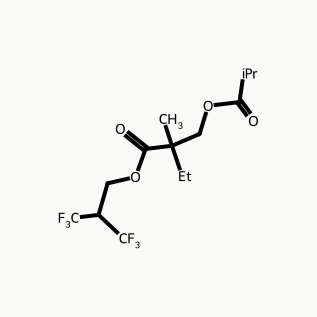 CCC(C)(COC(=O)C(C)C)C(=O)OCC(C(F)(F)F)C(F)(F)F